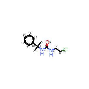 CC(C)(NC(=O)NCCCl)c1ccccc1